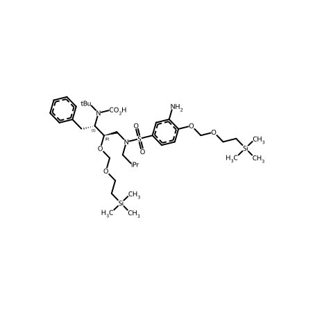 CC(C)CN(C[C@@H](OCOCC[Si](C)(C)C)[C@H](Cc1ccccc1)N(C(=O)O)C(C)(C)C)S(=O)(=O)c1ccc(OCOCC[Si](C)(C)C)c(N)c1